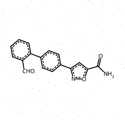 NC(=O)c1cc(-c2ccc(-c3ccccc3C=O)cc2)no1